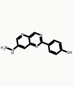 BNc1cnc2cnc(-c3ccc(O)cc3)nc2c1